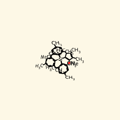 COc1cc(C)cc(C)c1[Si](C1=C(C)C(C)=C(C)C1C)(c1c(C)cc(C)cc1OC)c1c(C)cc(C)cc1OC